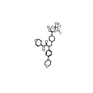 CC(C)(C)OC(=O)N1CCC(CN(C(=O)NC2CCOCC2)c2ccc(N3CCOCC3)cc2)CC1